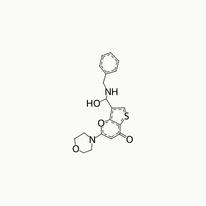 O=c1cc(N2CCOCC2)oc2c(C(O)NCc3ccccc3)csc12